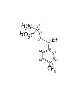 CCC(CCC(C)(N)C(=O)O)c1ccc(C(F)(F)F)cc1